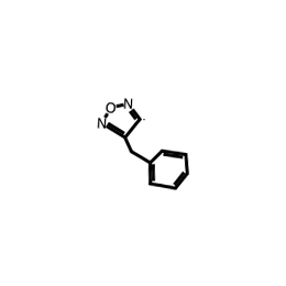 [c]1nonc1Cc1ccccc1